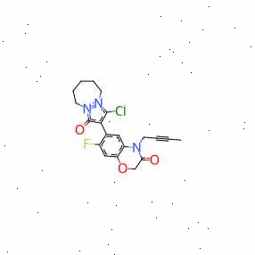 CC#CCN1C(=O)COc2cc(F)c(-c3c(Cl)n4n(c3=O)CCCCC4)cc21